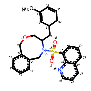 COC1=CC(CC2COCc3ccccc3CN2S(=O)(=O)c2cccc3cccnc23)CC=C1